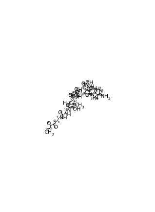 CC=CC(=O)C(=O)SCCNC(=O)CCNC(=O)[C@H](O)C(C)(C)COP(=O)(O)OP(=O)(O)OC[C@H]1O[C@@H](n2cnc3c(N)ncnc32)[C@H](O)[C@@H]1OP(=O)(O)O